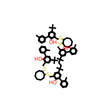 Cc1cccc(-c2cc(C(C)(C)C)cc(CSC3CCCCCCC3SCc3cc(C(C)(C)CCC(C)(C)c4cc(CSC5CCCCCC[C@@H]5SCc5cc(C(C)(C)C)cc(-c6ccccc6C)c5O)c(O)c(-c5ccccc5C)c4)cc(-c4cccc(C)c4)c3O)c2O)c1